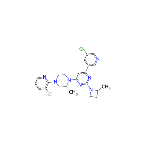 CC1CCN1c1nc(-c2cncc(Cl)c2)cc(N2CCN(c3ncccc3Cl)C[C@H]2C)n1